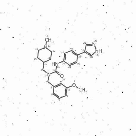 COc1cccc(CN(CC2CCN(C)CC2)C(=O)Nc2ccc(-c3cn[nH]c3)cc2)c1